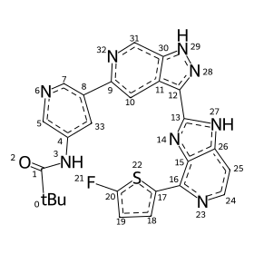 CC(C)(C)C(=O)Nc1cncc(-c2cc3c(-c4nc5c(-c6ccc(F)s6)nccc5[nH]4)n[nH]c3cn2)c1